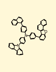 c1ccc2c(-c3ccc(N(c4ccc(-c5cccc6oc7c8ccccc8ccc7c56)cc4)c4ccc(-n5c6ccccc6c6ccccc65)cc4)cc3)cccc2c1